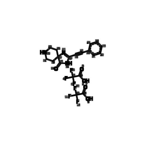 O=C(O)C(F)(F)F.O=C(O)C(F)(F)F.O=C1NC(C#Cc2ccccc2)=NC12CCNCC2